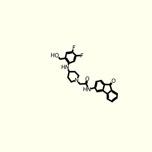 O=C(CN1CCC(Nc2cc(F)c(F)cc2CO)CC1)Nc1ccc2c(c1)-c1ccccc1C2=O